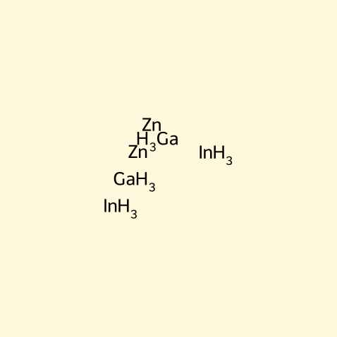 [GaH3].[GaH3].[InH3].[InH3].[Zn].[Zn]